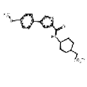 CCOC(=O)CC1CCC(NC(=O)c2cc(-c3ccc(OC(F)(F)F)cc3)cs2)CC1